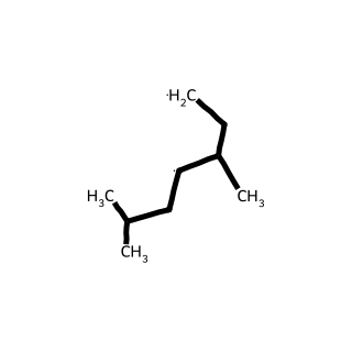 [CH2]CC(C)[CH]CC(C)C